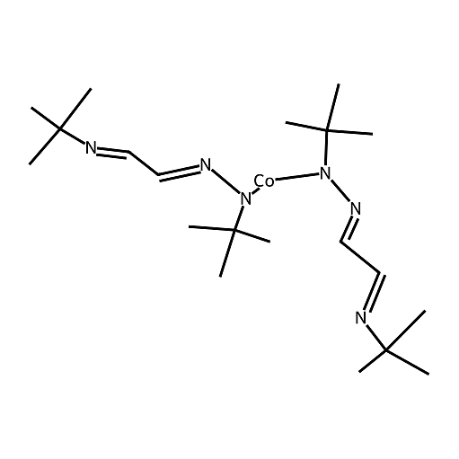 CC(C)(C)N=CC=N[N]([Co][N](N=CC=NC(C)(C)C)C(C)(C)C)C(C)(C)C